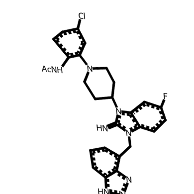 CC(=O)Nc1ccc(Cl)cc1N1CCC(n2c(=N)n(Cc3cccc4[nH]nnc34)c3ccc(F)cc32)CC1